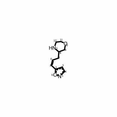 C(=C/c1ccno1)/CC1COCCN1